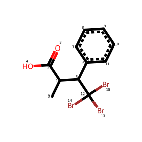 CC(C(=O)O)C(c1ccccc1)C(Br)(Br)Br